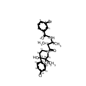 CC(NC(=O)c1cccc(Br)c1)[C@@H](C)C(=O)N1CC[C@](O)(c2ccc(Cl)cc2)C(C)(C)C1